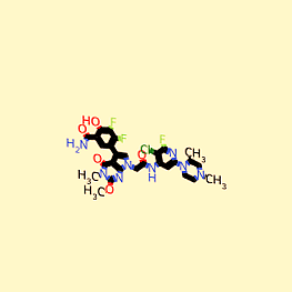 COc1nc2c(c(-c3cc(C(N)=O)c(O)c(F)c3F)cn2CC(=O)Nc2cc(N3CCN(C)C[C@@H]3C)nc(F)c2Cl)c(=O)n1C